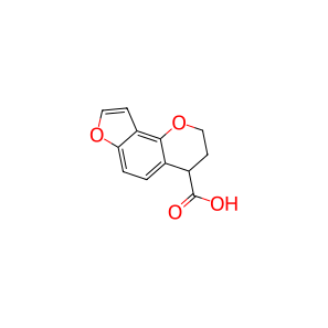 O=C(O)C1CCOc2c1ccc1occc21